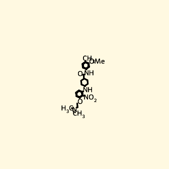 COc1cc(NC(=O)C2CCC(Nc3cccc(OCCN(C)C)c3[N+](=O)[O-])CC2)ccc1C